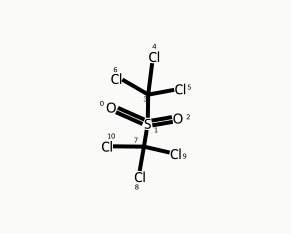 O=S(=O)(C(Cl)(Cl)Cl)C(Cl)(Cl)Cl